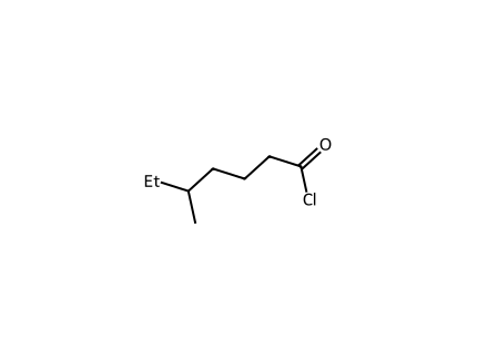 CCC(C)CCCC(=O)Cl